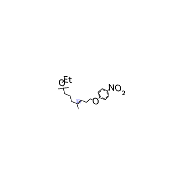 CCOC(C)(C)CCC/C(C)=C/CCOc1ccc([N+](=O)[O-])cc1